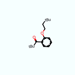 CC(C)(C)CCOc1ccccc1C(=O)C(C)(C)C